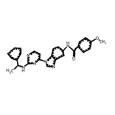 COc1ccc(C(=O)Nc2ccc3c(c2)ncn3-c2ccnc(NC(C)c3ccccc3)n2)cc1